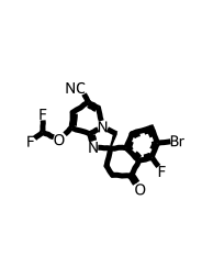 N#CC1=CN2C[C@@]3(CCC(=O)c4c3ccc(Br)c4F)N=C2C(OC(F)F)=C1